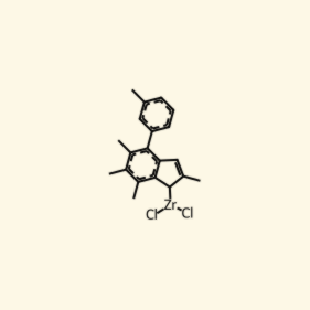 CC1=Cc2c(-c3cccc(C)c3)c(C)c(C)c(C)c2[CH]1[Zr]([Cl])[Cl]